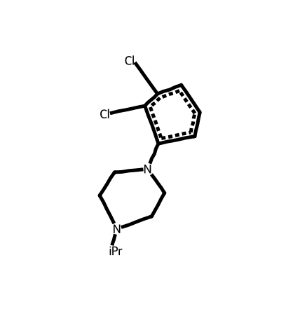 CC(C)N1CCN(c2cccc(Cl)c2Cl)CC1